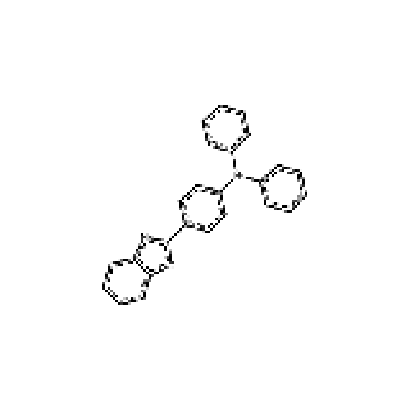 c1ccc(N(c2ccccc2)c2ccc(-c3nc4ccccc4o3)cc2)cc1